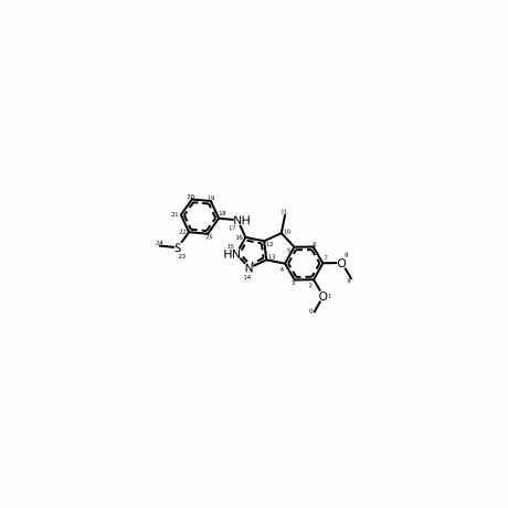 COc1cc2c(cc1OC)C(C)c1c-2n[nH]c1Nc1cccc(SC)c1